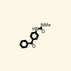 CNC(=O)Nc1ccc(C(=O)c2ccccc2)cc1